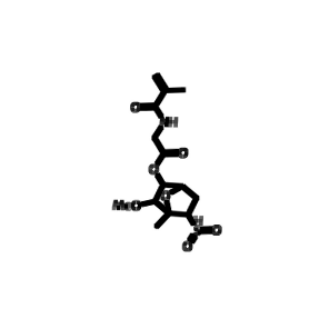 C=C(C)C(=O)NCC(=O)OC1C2CC([SH](=O)=O)C(C)(O2)C1OC